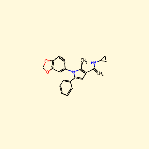 C=C(NC1CC1)c1cc(-c2ccccc2)n(-c2ccc3c(c2)OCO3)c1C